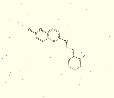 CN1CCCCC1CCOc1ccc2oc(=O)ccc2c1